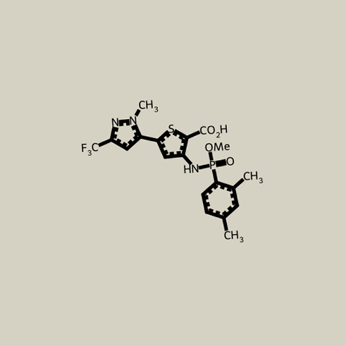 COP(=O)(Nc1cc(-c2cc(C(F)(F)F)nn2C)sc1C(=O)O)c1ccc(C)cc1C